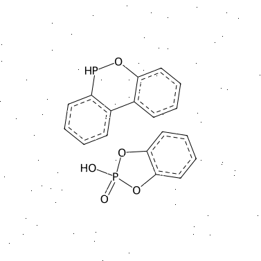 O=P1(O)Oc2ccccc2O1.c1ccc2c(c1)OPc1ccccc1-2